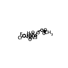 CS(=O)(=O)C1CCC(COCc2csc3nc(C(=O)NCc4ccc(F)c(Cl)c4)[nH]c(=O)c23)C1